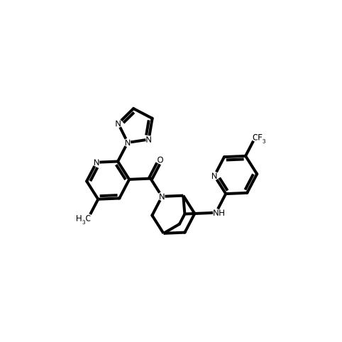 Cc1cnc(-n2nccn2)c(C(=O)N2CC3CCC2C(Nc2ccc(C(F)(F)F)cn2)C3)c1